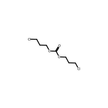 O=C(OCCCCl)OCCCCl